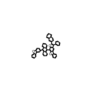 c1ccc(-c2c(-c3ccc4ccccc4c3)oc3c(-c4c5ccccc5c(-c5ccc6oc7ccccc7c6c5)c5ccccc45)c4oc5ccccc5c4cc23)cc1